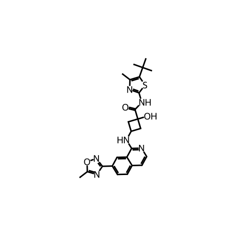 Cc1nc(-c2ccc3ccnc(NC4CC(O)(C(=O)Nc5nc(C)c(C(C)(C)C)s5)C4)c3c2)no1